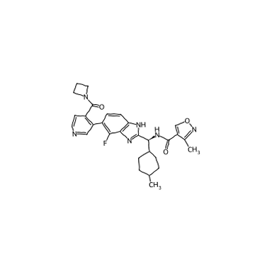 Cc1nocc1C(=O)N[C@H](c1nc2c(F)c(-c3cnccc3C(=O)N3CCC3)ccc2[nH]1)C1CCC(C)CC1